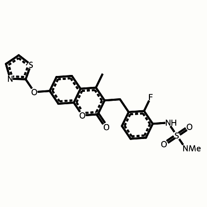 CNS(=O)(=O)Nc1cccc(Cc2c(C)c3ccc(Oc4nccs4)cc3oc2=O)c1F